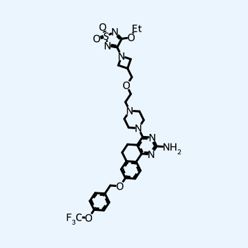 CCOC1=NS(=O)(=O)N=C1N1CC(COCCN2CCN(c3nc(N)nc4c3CCc3cc(OCc5ccc(OC(F)(F)F)cc5)ccc3-4)CC2)C1